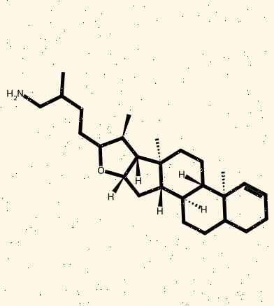 CC(CN)CCC1O[C@H]2C[C@H]3[C@@H]4CCC5CCC=C[C@]5(C)[C@H]4CC[C@]3(C)[C@H]2[C@@H]1C